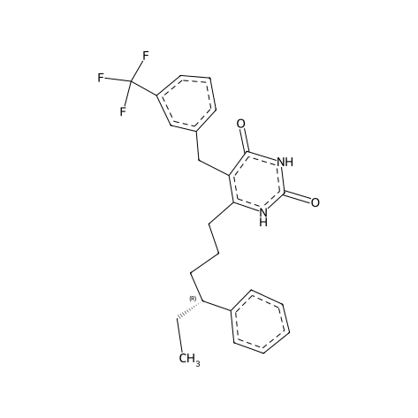 CC[C@H](CCCc1[nH]c(=O)[nH]c(=O)c1Cc1cccc(C(F)(F)F)c1)c1ccccc1